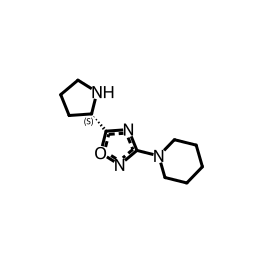 C1CCN(c2noc([C@@H]3CCCN3)n2)CC1